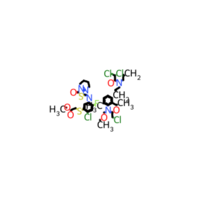 C=CCN(CC=C)C(=O)C(Cl)Cl.CCOCN(C(=O)CCl)c1c(C)cccc1CC.COC(=O)CSc1cc(/N=c2\sc(=O)n3n2CCCC3)c(F)cc1Cl